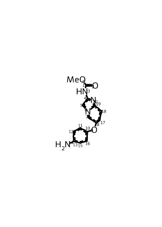 COC(=O)Nc1cn2cc(Oc3ccc(N)cc3)ccc2n1